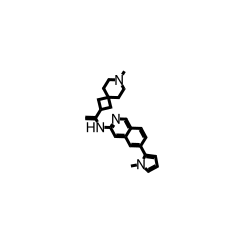 C=C(Nc1cc2cc(-c3cccn3C)ccc2cn1)C1CC2(CCN(C)CC2)C1